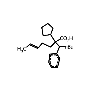 C/C=C/CCC(C(=O)O)(C1CCCC1)C(CCCC)c1ccccc1